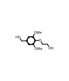 COc1cc(CO)cc(OC)c1OCCO